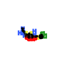 CN(C)CCNc1ncc(C2=C(C(=O)O)N3C(=O)C(NC(=O)CSc4ccc(Cl)c(Cl)c4)C3SC2)s1